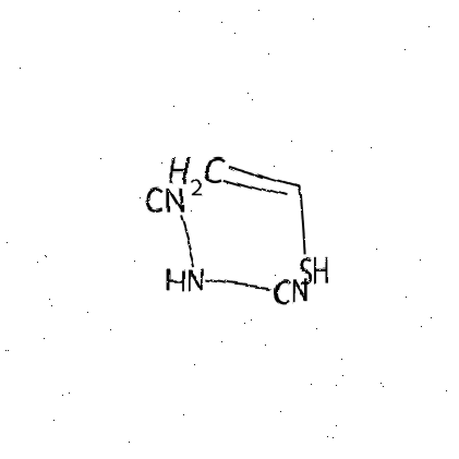 C=CS.N#CNC#N